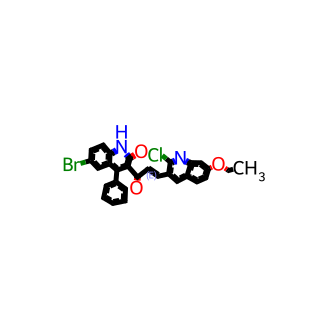 CCOc1ccc2cc(/C=C/C(=O)c3c(-c4ccccc4)c4cc(Br)ccc4[nH]c3=O)c(Cl)nc2c1